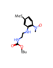 CSc1ccc([N+](C)=O)c(NCCNC(=O)OC(C)(C)C)c1